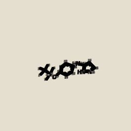 CC(C)(C)[Si](C)(C)Oc1ccc(Nc2ccn[nH]2)cc1